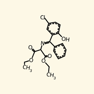 CCOC(=O)C(N=C(c1ccccc1)c1cc(Cl)ccc1O)C(=O)OCC